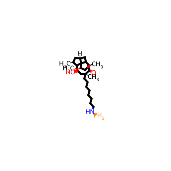 CO[C@@H]1CC[C@@]23C[C@@H]4C[C@@H](C)C([C@H](O)C[C@](C)(CCCCCCCCNP)C(=O)[C@@H]2C)C413